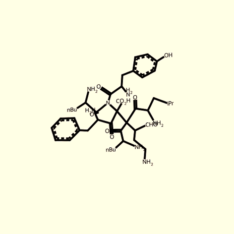 CCCCC(N)C(=O)N(C(=O)C(N)Cc1ccc(O)cc1)C(C(=O)O)(C(=O)C(N)Cc1ccccc1)C(C(=O)C(N)CCCC)(C(=O)C(N)CC(C)C)C(C=O)CCN